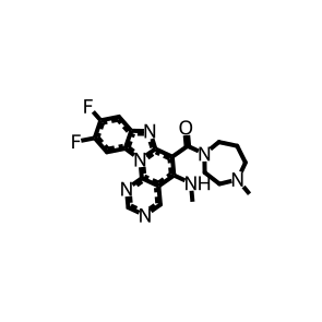 CNc1c(C(=O)N2CCCN(C)CC2)c2nc3cc(F)c(F)cc3n2c2ncncc12